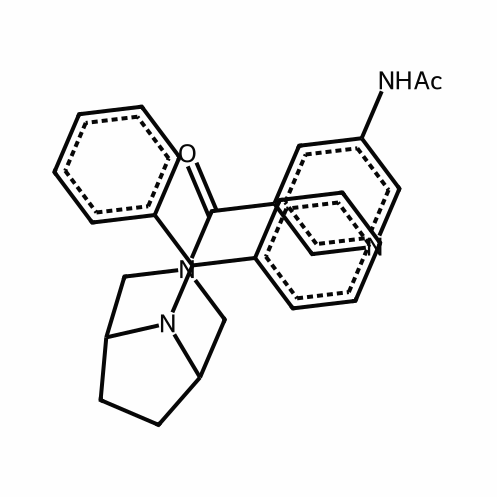 CC(=O)Nc1cncc(C(=O)N2CC3CCC(C2)N3C(c2ccccc2)c2ccccc2)c1